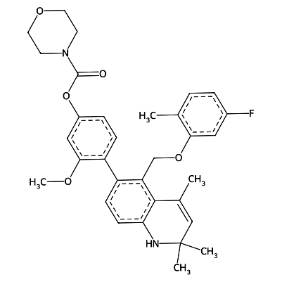 COc1cc(OC(=O)N2CCOCC2)ccc1-c1ccc2c(c1COc1cc(F)ccc1C)C(C)=CC(C)(C)N2